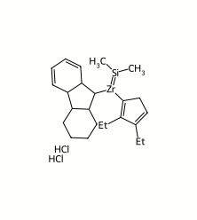 CCC1=CC[C]([Zr]([CH]2C3C=CC=CC3C3CCCCC32)=[Si](C)C)=C1CC.Cl.Cl